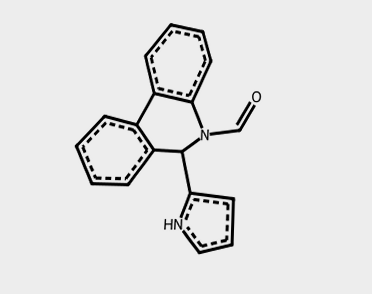 O=CN1c2ccccc2-c2ccccc2C1c1ccc[nH]1